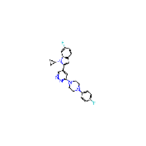 Fc1ccc(N2CCN(c3cc(-c4cc5ccc(F)cc5n4C4CC4)cnn3)CC2)cc1